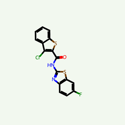 O=C(Nc1nc2ccc(F)cc2s1)c1sc2ccccc2c1Cl